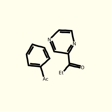 CC(=O)c1ccccc1.CCC(=O)c1cnccn1